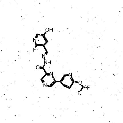 O=C(N/N=C/c1cc(O)cnc1F)c1cncc(-c2ccc(OC(F)F)nc2)n1